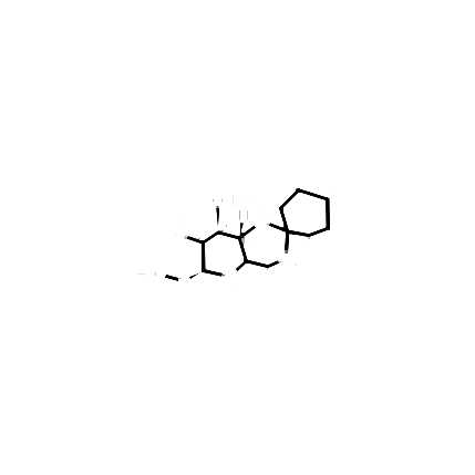 CS[C@@H]1OC2COC3(CCCCC3)O[C@H]2[C@H](O)C1O